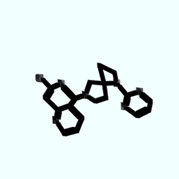 Clc1cc2ncccc2c(N2CCC3(CCN3c3ncccn3)C2)n1